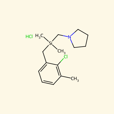 Cc1cccc(C[Si](C)(C)CN2CCCC2)c1Cl.Cl